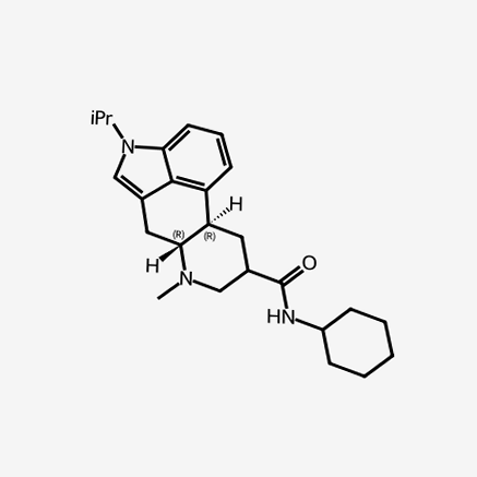 CC(C)n1cc2c3c(cccc31)[C@H]1CC(C(=O)NC3CCCCC3)CN(C)[C@@H]1C2